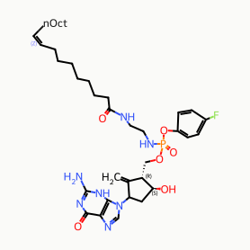 C=C1C(n2cnc3c(=O)nc(N)[nH]c32)C[C@H](O)[C@H]1COP(=O)(NCCNC(=O)CCCCCCC/C=C\CCCCCCCC)Oc1ccc(F)cc1